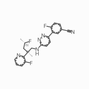 C[C@H](F)C[C@@](C)(CNc1ccc(-c2cc(C#N)ccc2F)nn1)c1ncccc1F